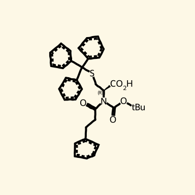 CC(C)(C)OC(=O)N(C(=O)CCc1ccccc1)[C@@H](CSC(c1ccccc1)(c1ccccc1)c1ccccc1)C(=O)O